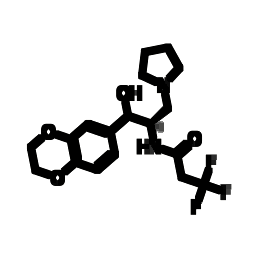 O=C(CC(F)(F)F)N[C@H](CN1CCCC1)C(O)c1ccc2c(c1)OCCO2